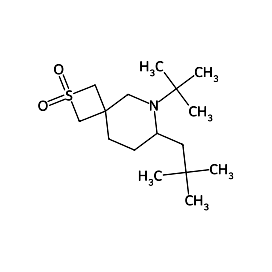 CC(C)(C)CC1CCC2(CN1C(C)(C)C)CS(=O)(=O)C2